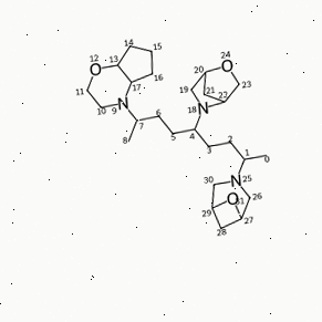 CC(CCC(CCC(C)N1CCOC2CCCC21)N1CC2CC1CO2)N1CC2CC(C1)O2